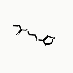 C=CC(=O)OCCOc1cc[nH]c1